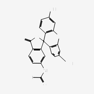 O=C(I)Nc1ccc2c(c1)C1(OC2=O)c2ccc(O)cc2Oc2cc(O)ccc21